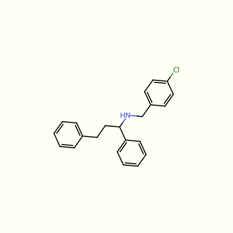 Clc1ccc(CNC(CCc2ccccc2)c2ccccc2)cc1